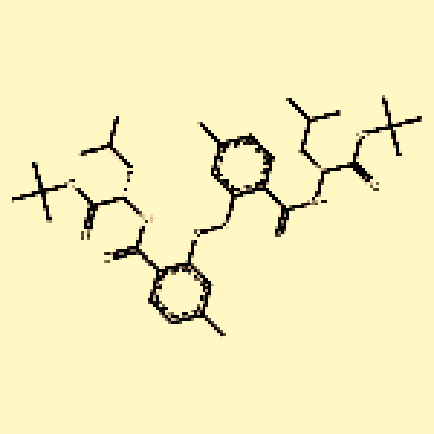 Cc1ccc(C(=O)N[C@@H](CC(C)C)C(=O)OC(C)(C)C)c(SSc2cc(C)ccc2C(=O)N[C@@H](CC(C)C)C(=O)OC(C)(C)C)c1